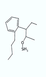 CCCCc1ccccc1C(CC)C(C)O[SiH3]